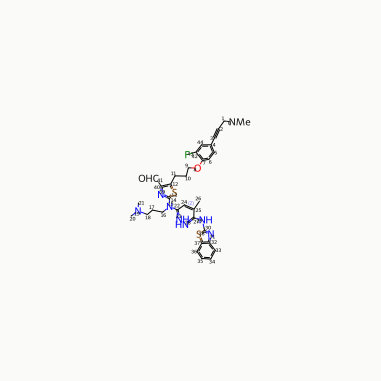 CNCC#Cc1ccc(OCCCc2sc(N(CCCN(C)C)C(=N)/C=C(/C)C(=N)Nc3nc4ccccc4s3)nc2C=O)c(F)c1